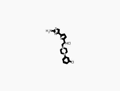 Cl.Nc1nc(-c2ccc(CCN3CCN(c4cccc(Cl)c4)CC3)s2)cs1